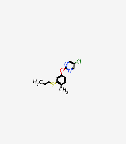 CCCSc1cc(Oc2ncc(Cl)cn2)ccc1C